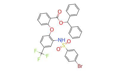 O=C(OC(c1ccccc1)c1ccccc1)c1ccccc1Oc1ccc(C(F)(F)F)cc1NS(=O)(=O)c1ccc(Br)cc1